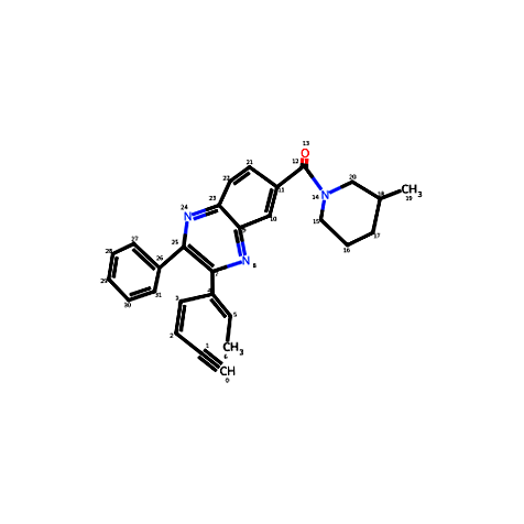 C#C/C=C\C(=C/C)c1nc2cc(C(=O)N3CCCC(C)C3)ccc2nc1-c1ccccc1